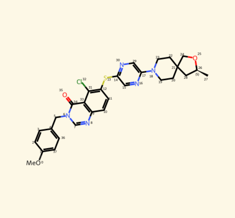 COc1ccc(Cn2cnc3ccc(Sc4cnc(N5CCC6(CC5)CO[C@@H](C)C6)cn4)c(Cl)c3c2=O)cc1